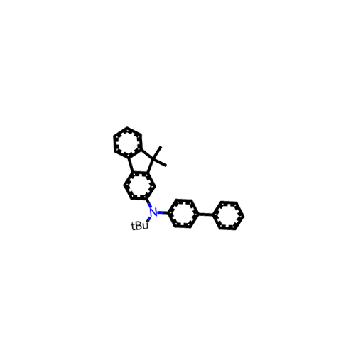 CC1(C)c2ccccc2-c2ccc(N(c3ccc(-c4ccccc4)cc3)C(C)(C)C)cc21